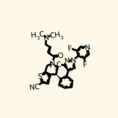 CN(C)C/C=C/C(=O)N1Cc2sc(C#N)cc2[C@H](c2ccccc2-c2cn(-c3c(F)cncc3F)nc2C(F)(F)F)C1